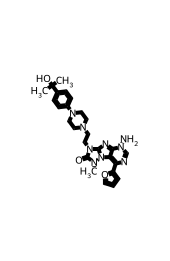 CN1C(=O)N(CCN2CCN(c3ccc(C(C)(C)O)cc3)CC2)C2N=C3C(=C(c4ccco4)N=CN3N)N21